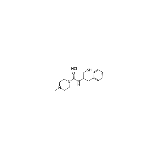 CN1CCN(C(=O)NC(CS)Cc2ccccc2)CC1.Cl